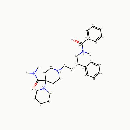 CN(C)C(=O)C1(N2CCCCC2)CCN(CC[C@H](CN(C)C(=O)c2ccccc2)c2ccccc2)CC1